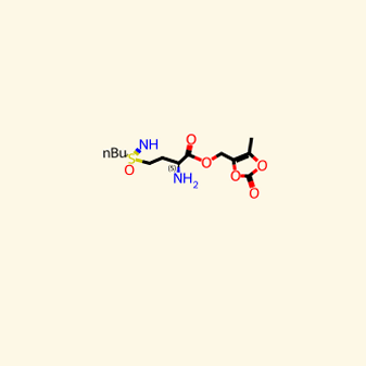 CCCCS(=N)(=O)CC[C@H](N)C(=O)OCc1oc(=O)oc1C